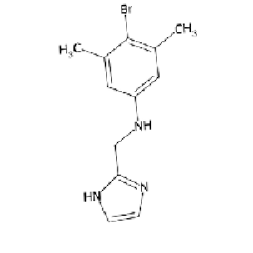 Cc1cc(NCc2ncc[nH]2)cc(C)c1Br